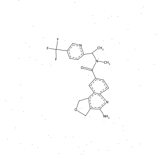 CC(c1ccc(C(F)(F)F)cn1)N(C)C(=O)c1ccc2nc(N)c3c(c2c1)COC3